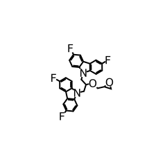 Fc1ccc2c(c1)c1cc(F)ccc1n2CC(Cn1c2ccc(F)cc2c2cc(F)ccc21)OCC1CO1